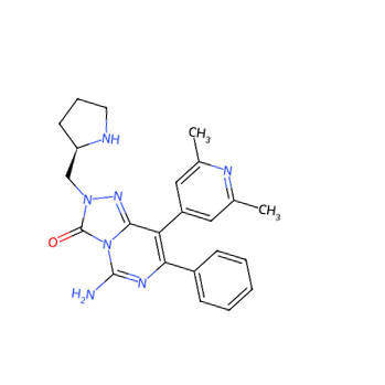 Cc1cc(-c2c(-c3ccccc3)nc(N)n3c(=O)n(C[C@H]4CCCN4)nc23)cc(C)n1